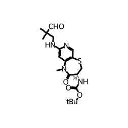 CN1C(=O)[C@@H](NC(=O)OC(C)(C)C)CSc2cnc(NCC(C)(C)C=O)cc21